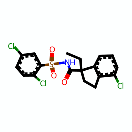 CCC1(C(=O)NS(=O)(=O)c2cc(Cl)ccc2Cl)CCc2c(Cl)cccc21